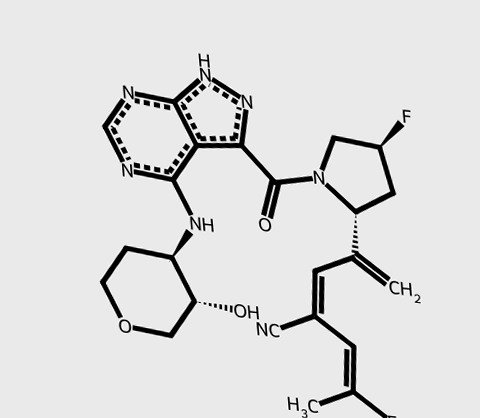 C=C(/C=C(C#N)\C=C(/C)F)[C@H]1C[C@H](F)CN1C(=O)c1n[nH]c2ncnc(N[C@@H]3CCOC[C@H]3O)c12